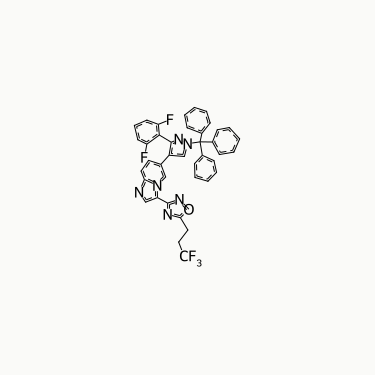 Fc1cccc(F)c1-c1nn(C(c2ccccc2)(c2ccccc2)c2ccccc2)cc1-c1ccc2ncc(-c3noc(CCC(F)(F)F)n3)n2c1